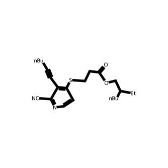 CCCCC#Cc1c(SCCC(=O)OCC(CC)CCCC)ccnc1C#N